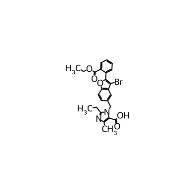 CCOC(=O)c1ccccc1-c1oc2ccc(Cn3c(CC)nc(C)c3C(=O)O)cc2c1Br